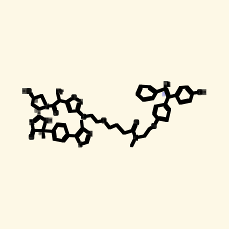 CC/C(=C(\c1ccc(O)cc1)c1ccc(OCCN(C)C(=O)CCCOCCOc2cc(C(C(=O)N3C[C@H](O)C[C@H]3C3=NC(=O)[C@@](C)(c4ccc(-c5scnc5C)cc4)N3)C(C)C)on2)cc1)c1ccccc1